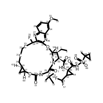 CC[C@@H]1[C@@H]2CN(C(=O)[C@H](C(C)(C)C)NC(=O)O[C@@H]3C[C@H]3CCCCC(F)c3nc4ccc(OC)cc4nc3O2)[C@@H]1C(=O)N[C@]1(C(=O)NS(=O)(=O)C2(C)CC2)CC1C(F)F